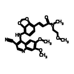 COCCN(C)C(=O)C=Cc1ccc(Nc2c(C#N)cnc3cc(OC)c(OC)cc23)c2c1OCO2